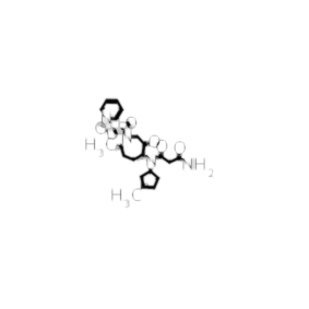 C[C@H]1CCC(N(C(=O)CC(N)=O)[C@H]2CC[C@@H](C)N(S(=O)(=O)c3cccc[n+]3[O-])CC2=O)C1